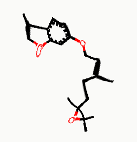 CC(=CCOc1ccc2c(c1)OCC2C)CCC1(C)OC1(C)C